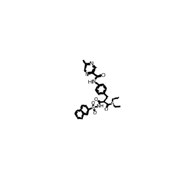 CCN(CC)C(=O)C(Cc1ccc(NC(=O)c2cnc(C)cn2)cc1)C(=O)NS(=O)(=O)c1ccc2ccccc2c1